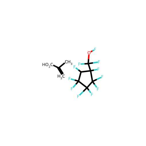 C=C(C)C(=O)O.FOC(F)(F)C1(F)C(F)C(F)(F)C(F)(F)C1(F)F